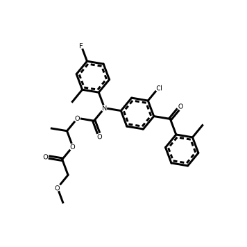 COCC(=O)OC(C)OC(=O)N(c1ccc(C(=O)c2ccccc2C)c(Cl)c1)c1ccc(F)cc1C